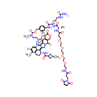 CC[C@]1(OC(=O)N(C)CCN(C)C(=O)OCc2ccc(NC(=O)[C@H](CCCNC(N)=O)NC(=O)[C@@H](NC(=O)CCOCCOCCOCCOCCNC(=O)CCN3C(=O)C=CC3=O)C(C)C)cc2)C(=O)OCc2c1cc1n(c2=O)Cc2c-1nc1cc(F)c(C)c3c1c2[C@H](NC(=O)C1CN(C)C1)CC3